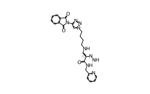 N=N/C(=C\NCCCCn1cc(N2C(=O)c3ccccc3C2=O)nn1)C(=O)NCc1ccccn1